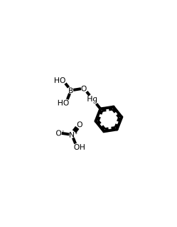 O=[N+]([O-])O.OB(O)[O][Hg][c]1ccccc1